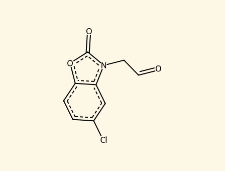 O=CCn1c(=O)oc2ccc(Cl)cc21